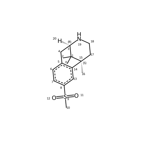 CC1(C)[C@H]2Cc3ccc(S(C)(=O)=O)cc3[C@]1(C)CCN2